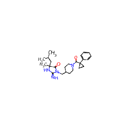 CC(C)CC1(C)NC(=N)N(CC2CCN(C(=O)C3(c4ccccc4)CC3)CC2)C1=O